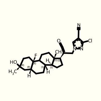 C[C@@]1(O)CC[C@]2(F)C3CC[C@]4(C)[C@@H](C(=C=O)Cn5cc(C#N)c(Cl)n5)CC[C@H]4[C@@H]3CC[C@@H]2C1